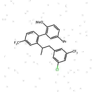 COc1ccc(C(C)C)cc1-c1ccc(C(F)(F)F)cc1C(C)Cc1cc(Cl)cc(C(F)(F)F)c1